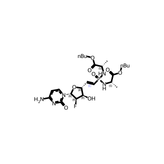 CCCCOC(=O)[C@H](C)NP(=O)(/C=C/[C@H]1O[C@@H](n2ccc(N)nc2=O)[C@H](F)[C@@H]1O)N[C@@H](C)C(=O)OCCCC